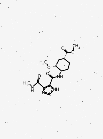 CNC(=O)c1nc[nH]c1C(=O)N[C@@H]1CC[C@@H](C(=O)OC)C[C@H]1OC